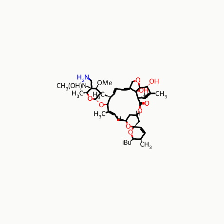 CCC(C)[C@H]1O[C@]2(C=C[C@@H]1C)C[C@@H]1C[C@@H](C/C=C(\C)[C@@H](O[C@H]3C[C@H](OC)[C@](CN)(N(C)O)[C@H](C)O3)[C@@H](C)/C=C/C=C3\COC4[C@H](O)C(C)=C[C@@H](C(=O)O1)[C@]34O)O2